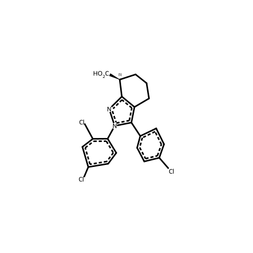 O=C(O)[C@H]1CCCc2c1nn(-c1ccc(Cl)cc1Cl)c2-c1ccc(Cl)cc1